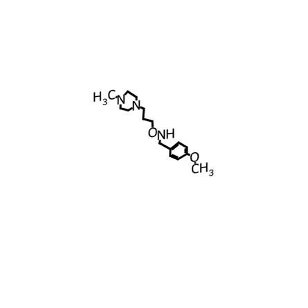 COc1ccc(CNOCCCN2CCN(C)CC2)cc1